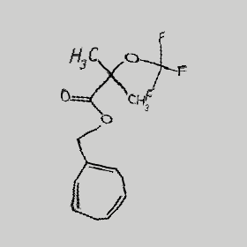 CC(C)(OC(F)(F)F)C(=O)OCc1ccccc1